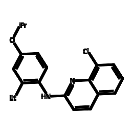 CCc1cc(OC(C)C)ccc1Nc1ccc2cccc(Cl)c2n1